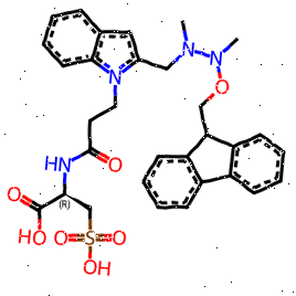 CN(Cc1cc2ccccc2n1CCC(=O)N[C@@H](CS(=O)(=O)O)C(=O)O)N(C)OCC1c2ccccc2-c2ccccc21